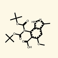 COc1cc2c(C)n[nH]c2c(N(C(=O)OC(C)(C)C)C(=O)OC(C)(C)C)c1C(=O)O